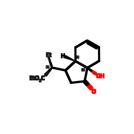 CCOC(=O)[C@@H](CC)C1CC(=O)[C@@]2(O)CC=CC[C@H]12